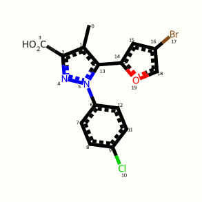 Cc1c(C(=O)O)nn(-c2ccc(Cl)cc2)c1-c1cc(Br)co1